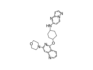 c1cnc2cc(N3CCOCC3)nc(OC3CCC(Nc4ccn5nccc5n4)CC3)c2c1